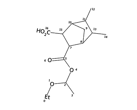 CCOC(C)OC(=O)C1C2CC(C(C)C2C)C1C(=O)O